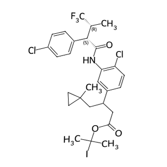 C[C@H]([C@H](C(=O)Nc1cc(C(CC(=O)OC(C)(C)I)CC2(C)CC2)ccc1Cl)c1ccc(Cl)cc1)C(F)(F)F